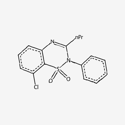 CCCC1=Nc2cccc(Cl)c2S(=O)(=O)N1c1ccccc1